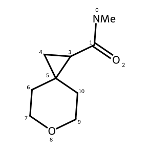 CNC(=O)C1CC12CCOCC2